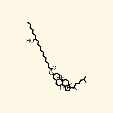 CCCCCCC(O)CCCCCCCCCCC(=O)O[C@H]1CC[C@@]2(C)C(=CC[C@H]3[C@@H]4CC[C@H]([C@H](C)CCCC(C)C)[C@@]4(C)CC[C@@H]32)C1